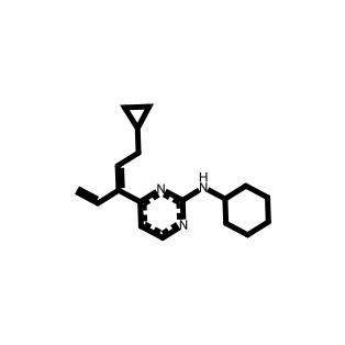 C=C/C(=C/CC1CC1)c1ccnc(NC2CCCCC2)n1